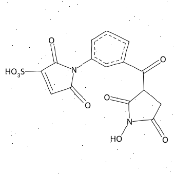 O=C(c1cccc(N2C(=O)C=C(S(=O)(=O)O)C2=O)c1)C1CC(=O)N(O)C1=O